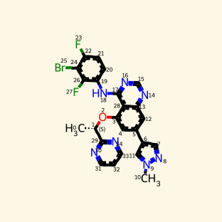 C[C@H](Oc1cc(-c2cnn(C)c2)cc2ncnc(Nc3ccc(F)c(Br)c3F)c12)c1ncccn1